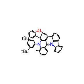 Cc1cccc2c1N(c1cc(C(C)(C)C)cc(C(C)(C)C)c1)c1c3c(cc4oc5ccccc5c14)-c1cccc4c5ccccc5n(c14)B23